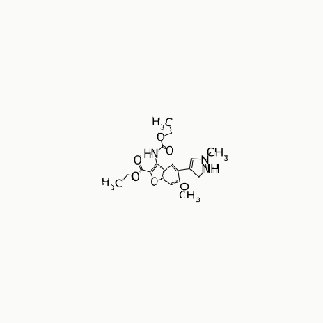 CCOC(=O)Nc1c(C(=O)OCC)oc2cc(OC)c(C3=CN(C)NC3)cc12